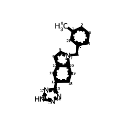 Cc1cccc(Cn2ccc3cc(-c4nn[nH]n4)ccc32)c1